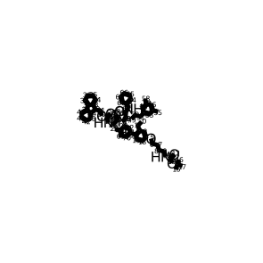 CCc1cc(OCCCCNC(=O)OC(C)(C)C)ccc1-c1ccc(C[C@H](NC(=O)OCC2c3ccccc3-c3ccccc32)C(=O)N[C@@H](CCCc2cc(C)cc(C)c2)C(=O)Nc2ccccc2)cc1